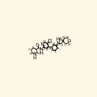 O=C(Nc1cc(-c2cccc(NCC3(F)CCOCC3)c2)c(Cl)cn1)[C@@H]1CCCNC1